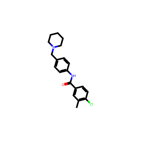 Cc1cc(C(=O)Nc2ccc(CN3CCCCC3)cc2)ccc1Cl